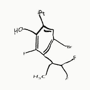 CC(C)c1cc(Br)c(C(C)C(F)F)c(F)c1O